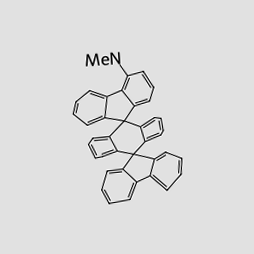 CNc1cccc2c1-c1ccccc1C21c2ccccc2C2(c3ccccc3-c3ccccc32)c2ccccc21